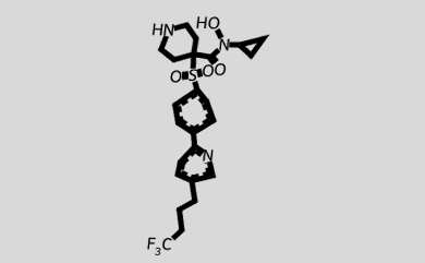 O=C(N(O)C1CC1)C1(S(=O)(=O)c2ccc(-c3ccc(CCCC(F)(F)F)cn3)cc2)CCNCC1